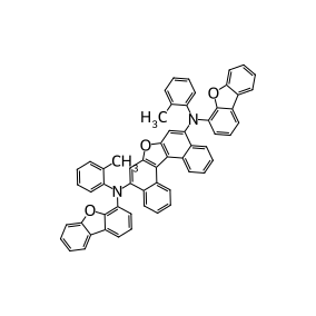 Cc1ccccc1N(c1cc2oc3cc(N(c4ccccc4C)c4cccc5c4oc4ccccc45)c4ccccc4c3c2c2ccccc12)c1cccc2c1oc1ccccc12